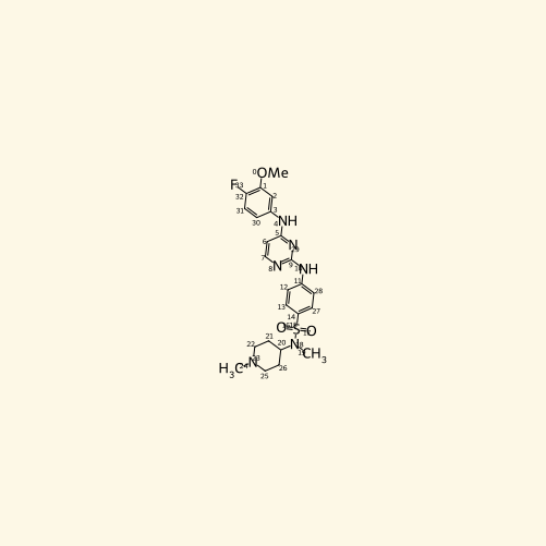 COc1cc(Nc2ccnc(Nc3ccc(S(=O)(=O)N(C)C4CCN(C)CC4)cc3)n2)ccc1F